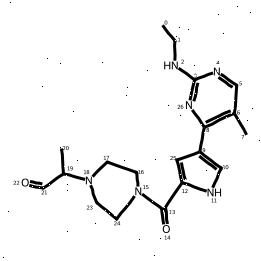 CCNc1ncc(C)c(-c2c[nH]c(C(=O)N3CCN(C(C)C=O)CC3)c2)n1